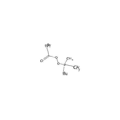 CCCC(=O)OO[Si](C)(C)C(C)(C)C